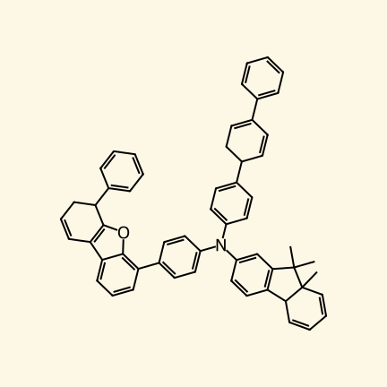 CC1(C)c2cc(N(c3ccc(-c4cccc5c6c(oc45)C(c4ccccc4)CC=C6)cc3)c3ccc(C4C=CC(c5ccccc5)=CC4)cc3)ccc2C2C=CC=CC21C